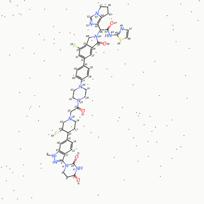 Cn1nc(N2CCC(=O)NC2=O)c2ccc(C3CCN(CC(=O)N4CCN(c5ccc(-c6cc(F)c7c(c6)C(=O)N(C(C(=O)Nc6nccs6)c6ncn8c6CCC8)C7)cc5)CC4)CC3F)cc21